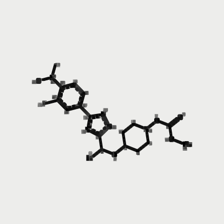 CCC(OC1CCN(OC(=O)OC(C)(C)C)CC1)c1nc(-c2ccc([S+](C)[O-])c(F)c2)no1